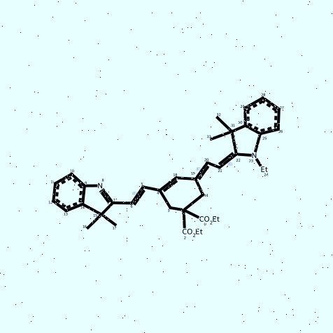 CCOC(=O)C1(C(=O)OCC)CC(/C=C/C2=Nc3ccccc3C2(C)C)=CC(=C/C=C2/N(CC)c3ccccc3C2(C)C)/C1